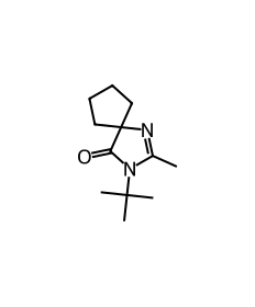 CC1=NC2(CCCC2)C(=O)N1C(C)(C)C